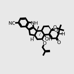 C=C(C)CO[C@H]1C[C@H]2Cc3c([nH]c4ccc(C#N)cc34)[C@]2(C)[C@@]2(C)CC[C@@]34O[C@@H](C(=O)C=C3[C@]12O)C(C)(C)O4